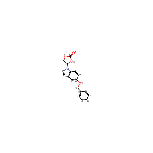 O=C1OCC(n2ccc3cc(OCc4ccccc4)ccc32)O1